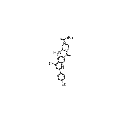 C=C(CCCC)N1CCN(C(=C)c2ccc3c(Cl)cc(-c4ccc(CC)cc4)nc3c2)C(N)C1